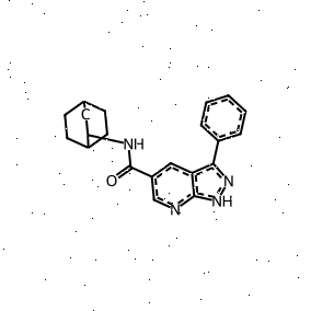 O=C(NC1CC2CCC1CC2)c1cnc2[nH]nc(-c3ccccc3)c2c1